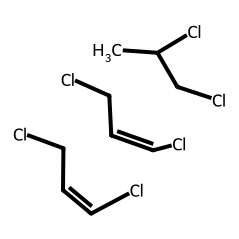 CC(Cl)CCl.Cl/C=C\CCl.Cl/C=C\CCl